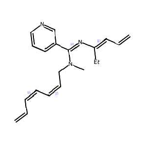 C=C/C=C\C=C/CN(C)/C(=N\C(=C\C=C)CC)c1cccnc1